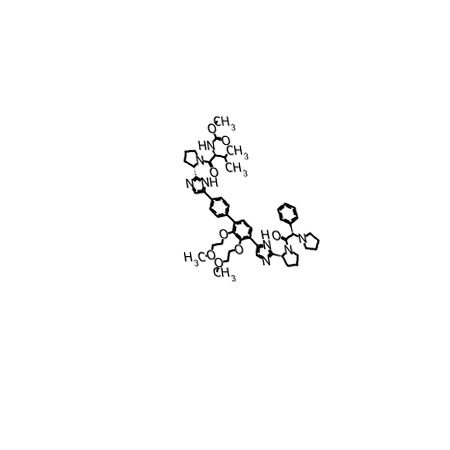 COCCOc1c(-c2ccc(-c3cnc([C@@H]4CCCN4C(=O)[C@@H](NC(=O)OC)C(C)C)[nH]3)cc2)ccc(-c2cnc([C@@H]3CCCN3C(=O)[C@@H](c3ccccc3)N3CCCC3)[nH]2)c1OCCOC